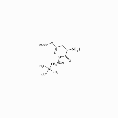 CCCCCCCCOC(=O)CC(C(=O)OCCCCCCCC)S(=O)(=O)O.CCCCCCCC[N+](C)(C)C